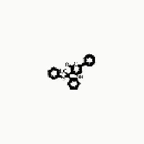 CC(Sc1ccccc1)(c1ccccc1)c1c(O)cc(-c2ccccc2)oc1=O